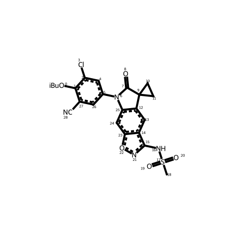 CC(C)COc1c(Cl)cc(N2C(=O)C3(CC3)c3cc4c(NS(C)(=O)=O)noc4cc32)cc1C#N